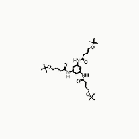 CC(C)(C)OCCCC(=O)Nc1cc(NC(=O)CCCOC(C)(C)C)cc(NC(=O)CCCOC(C)(C)C)c1